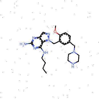 CCCCNc1nc(N)nc2cnn(Cc3cc(CN4CCNCC4)ccc3OC)c12